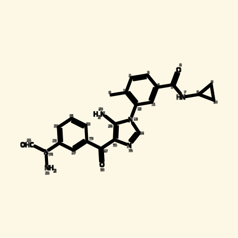 Cc1ccc(C(=O)NC2CC2)cc1-n1cnc(C(=O)c2cccc(N(N)C=O)c2)c1N